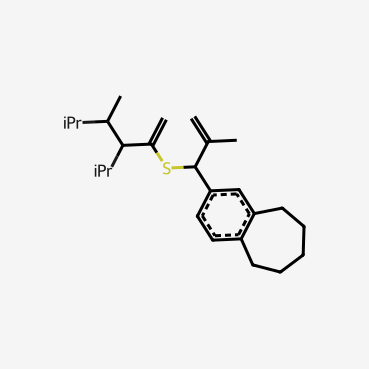 C=C(C)C(SC(=C)C(C(C)C)C(C)C(C)C)c1ccc2c(c1)CCCCC2